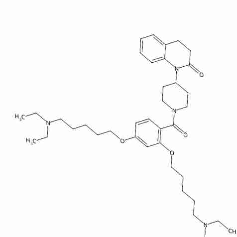 CCN(CC)CCCCCOc1ccc(C(=O)N2CCC(N3C(=O)CCc4ccccc43)CC2)c(OCCCCCN(CC)CC)c1